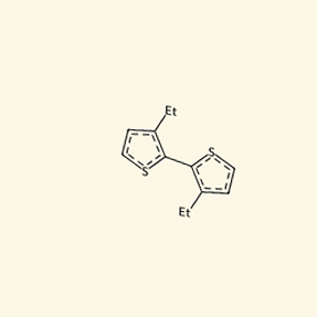 CCc1ccsc1-c1sccc1CC